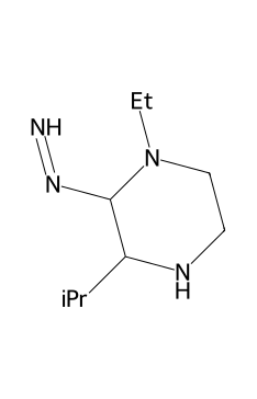 CCN1CCNC(C(C)C)C1N=N